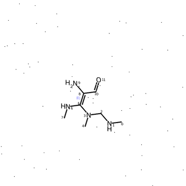 CNCN(C)/C(NC)=C(/N)C=O